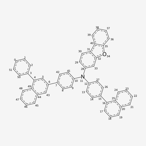 c1ccc(-c2cc(-c3ccc(N(c4ccc(-c5cccc6ccccc56)cc4)c4ccc5c(c4)oc4ccccc45)cc3)cc3ccccc23)cc1